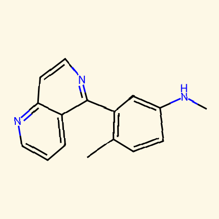 CNc1ccc(C)c(-c2nccc3ncccc23)c1